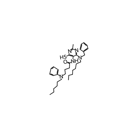 CCCCCCCN(Cc1ccccc1)c1nc(C)nc(S)c1NC(=O)CCCN(CCCCCC)c1ccccc1